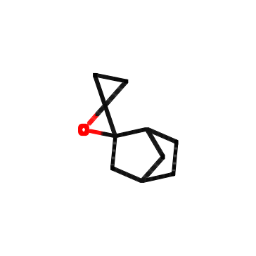 C1CC2CC1CC21OC12CC2